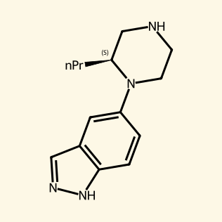 CCC[C@H]1CNCCN1c1ccc2[nH]ncc2c1